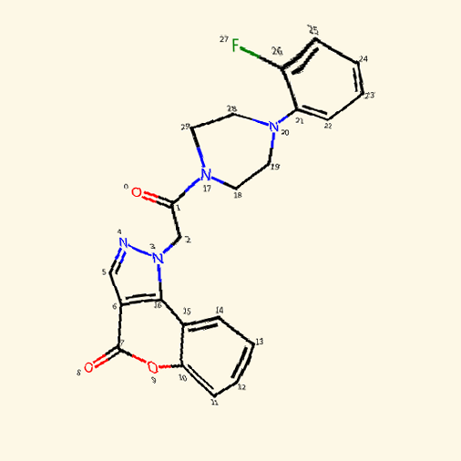 O=C(Cn1ncc2c(=O)oc3ccccc3c21)N1CCN(c2ccccc2F)CC1